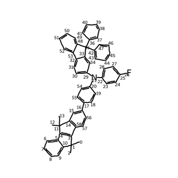 CC1(C)C2=C(c3ccccc31)C(C)(C)c1cc(-c3ccc(N(c4ccc(F)cc4)c4ccc5c(c4)C(c4ccccc4)(c4ccccc4)c4ccccc4-5)cc3)ccc12